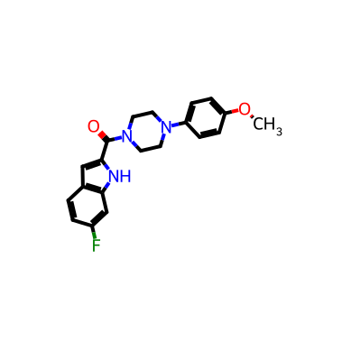 COc1ccc(N2CCN(C(=O)c3cc4ccc(F)cc4[nH]3)CC2)cc1